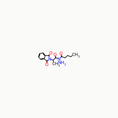 CCCCC(=O)N(N)C(=O)C(C)N1C(=O)c2ccccc2C1=O